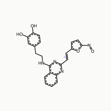 O=Nc1ccc(/C=C/c2nc(NCCc3ccc(O)c(O)c3)c3ccccc3n2)o1